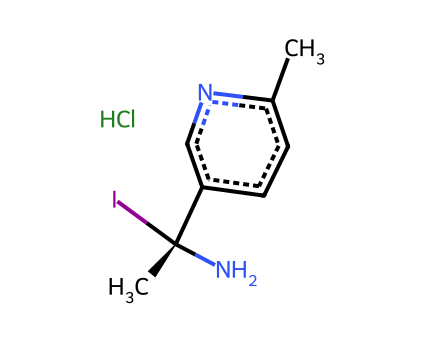 Cc1ccc([C@](C)(N)I)cn1.Cl